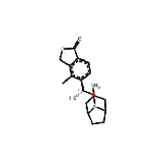 Cc1c([C@@H](O)CN2C3CCC2CC(N)C3)ccc2c1COC2=O